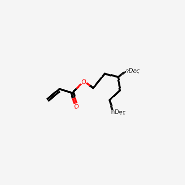 C=CC(=O)OCCC(CCCCCCCCCC)CCCCCCCCCCCC